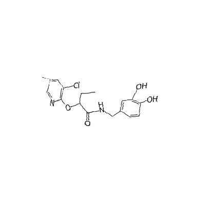 CCC(Oc1ncc(C)cc1Cl)C(=O)NCc1ccc(O)c(O)c1